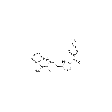 Cc1ccc(C(=O)c2ccc(CCN(C)C(=O)N(C)c3ccccc3)[nH]2)cc1